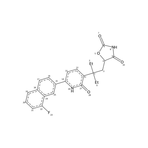 CCC(CC)(CC1OC(=O)NC1=O)c1ccc(-c2ccc3cccc(F)c3c2)[nH]c1=O